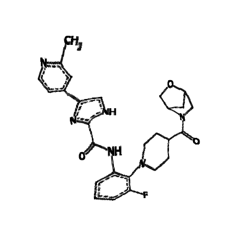 Cc1cc(-c2c[nH]c(C(=O)Nc3cccc(F)c3N3CCC(C(=O)N4CC5CC4CO5)CC3)n2)ccn1